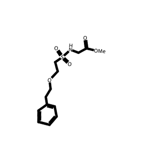 COC(=O)CNS(=O)(=O)CCOCCc1ccccc1